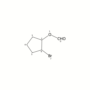 O=COC1CCCC1Br